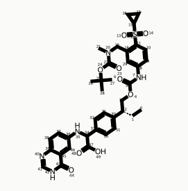 CC[C@@H](COC(=O)Nc1ccc(S(=O)(=O)C2CC2)c(CN(C)C(=O)OC(C)(C)C)c1)c1ccc(C(Nc2ccc3nc[nH]c(=O)c3c2)C(=O)O)cc1